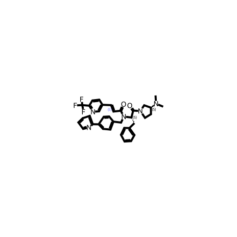 CN(C)[C@H]1CCN(C(=O)[C@H](Cc2ccccc2)N(Cc2ccc(-c3ccccn3)cc2)C(=O)/C=C/c2ccc(C(F)(F)F)nc2)C1